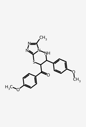 COc1ccc(C(=O)C2Sc3nnc(C)n3NC2c2ccc(OC)cc2)cc1